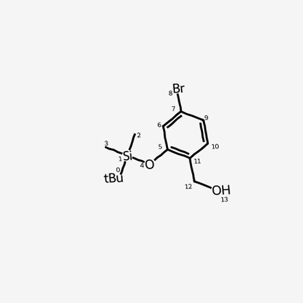 CC(C)(C)[Si](C)(C)Oc1cc(Br)ccc1CO